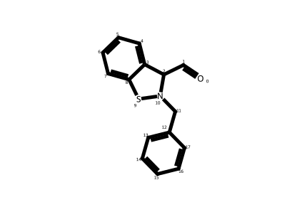 O=CC1c2ccccc2SN1Cc1ccccc1